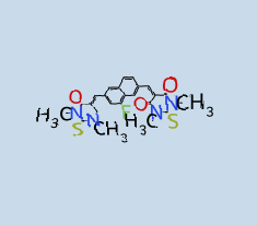 CN1C/C(=C\c2cc(F)c3cc(C=C4C(=O)N(C)C(=S)N(C)C4=O)ccc3c2)C(=O)N(C)C1=S